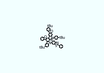 CC(C)(C)c1ccc(N2B3c4cc5nc(-c6ccccc6)sc5cc4-n4c5ccc(C(C)(C)C)cc5c5c6c(oc7ccccc76)c(c3c54)-c3cc4c(cc32)oc2cc(C(C)(C)C)ccc24)cc1